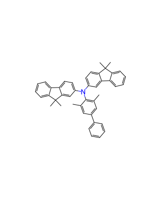 Cc1cc(-c2ccccc2)cc(C)c1N(c1ccc2c(c1)-c1ccccc1C2(C)C)c1ccc2c(c1)C(C)(C)c1ccccc1-2